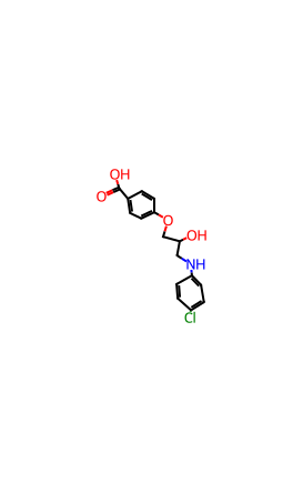 O=C(O)c1ccc(OCC(O)CNc2ccc(Cl)cc2)cc1